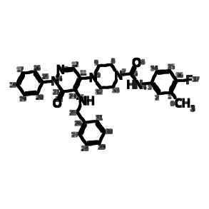 Cc1cc(NC(=O)N2CCN(c3cnn(-c4ccccc4)c(=O)c3NCc3ccccc3)CC2)ccc1F